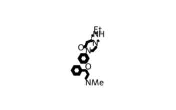 CCNC[C@H]1CC(=O)N(c2cccc(OC(CCNC)c3ccccc3)c2)CCN1C